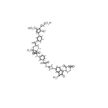 Cn1c(=O)n(C2CCC(=O)NC2=O)c2ccc(C3CN(CC(=O)Nc4cccc(CS(=O)(=O)N5CC[C@H](Nc6cccc(-c7sc(C(=O)O)c(OCC(=O)O)c7Cl)c6)CC5(C)C)c4)C3)cc21